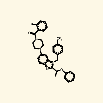 Cc1ccccc1C(=O)N1CCN(c2ccc3nc(C(C)Oc4ccccc4)n(Cc4ccc(C(F)(F)F)cc4)c3c2)CC1